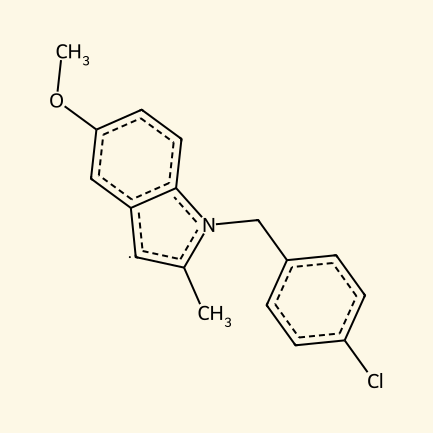 COc1ccc2c([c]c(C)n2Cc2ccc(Cl)cc2)c1